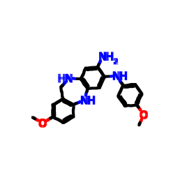 COc1ccc(Nc2cc3c(cc2N)NCc2cc(OC)ccc2N3)cc1